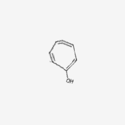 Oc1[c]cccc1